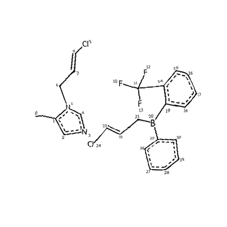 Cc1cncn1CC=CCl.FC(F)(F)c1ccccc1B(CC=CCl)c1ccccc1